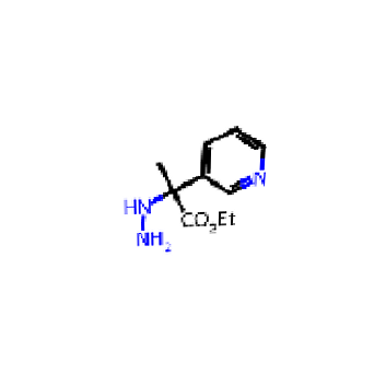 CCOC(=O)C(C)(NN)c1cccnc1